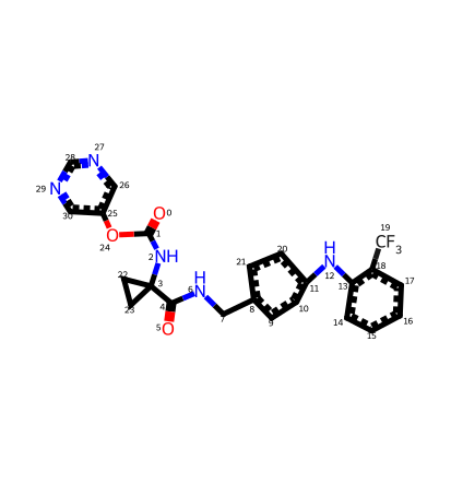 O=C(NC1(C(=O)NCc2ccc(Nc3ccccc3C(F)(F)F)cc2)CC1)Oc1cncnc1